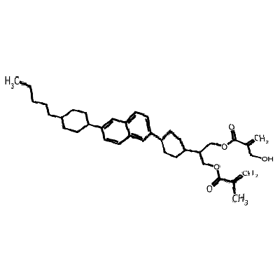 C=C(C)C(=O)OCC(COC(=O)C(=C)CO)C1CCC(c2ccc3cc(C4CCC(CCCCC)CC4)ccc3c2)CC1